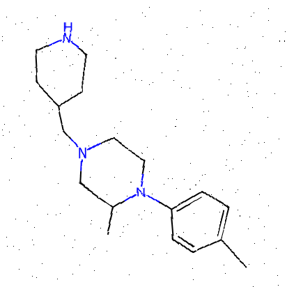 Cc1ccc(N2CCN(CC3CCNCC3)CC2C)cc1